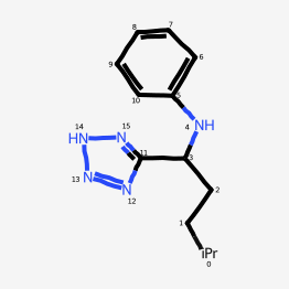 CC(C)CCC(Nc1ccccc1)c1nn[nH]n1